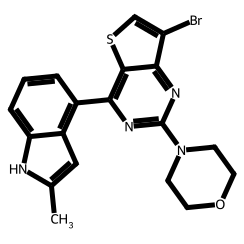 Cc1cc2c(-c3nc(N4CCOCC4)nc4c(Br)csc34)cccc2[nH]1